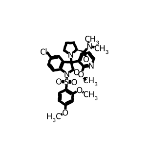 COc1ccc(S(=O)(=O)N2C(=O)C(c3cccnc3OC)(N3CCC[C@H]3C(=O)N(C)C)c3cc(Cl)ccc32)c(OC)c1